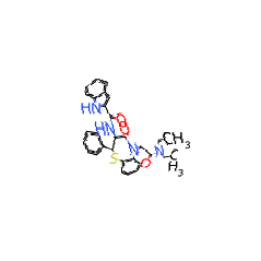 CCN(CC)C(=O)CN1C(=O)[C@H](NC(=O)c2cc3ccccc3[nH]2)[C@H](c2ccccc2)Sc2ccccc21